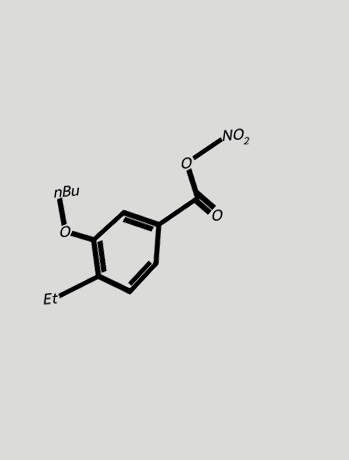 CCCCOc1cc(C(=O)O[N+](=O)[O-])ccc1CC